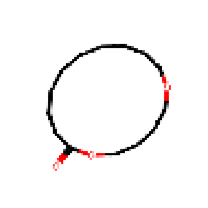 O=C1CCCCCCCCCOCCCCO1